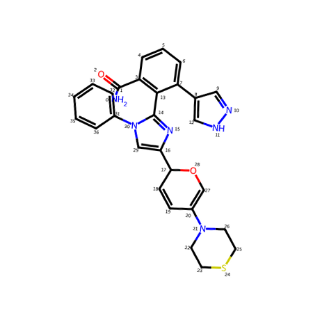 NC(=O)c1cccc(-c2cn[nH]c2)c1-c1nc(C2C=CC(N3CCSCC3)=CO2)cn1-c1ccccc1